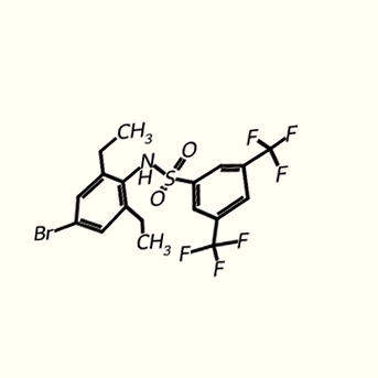 CCc1cc(Br)cc(CC)c1NS(=O)(=O)c1cc(C(F)(F)F)cc(C(F)(F)F)c1